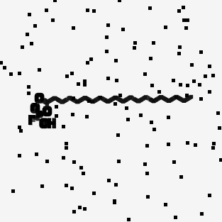 CCCCCCCCCCCCCCCCCCCC(=O)OP(=O)(O)F